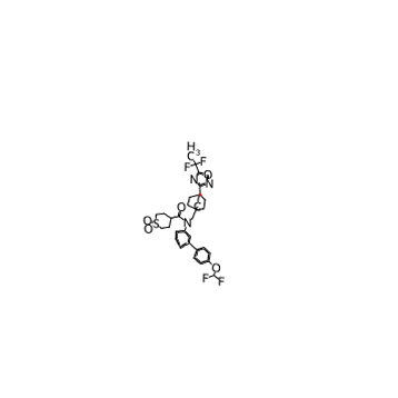 CC(F)(F)c1nc(C23CCC(CN(C(=O)C4CCS(=O)(=O)CC4)c4cccc(-c5ccc(OC(F)F)cc5)c4)(CC2)CC3)no1